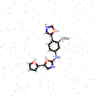 COc1cc(Nc2ncc(-c3ccco3)o2)ccc1-c1cnco1